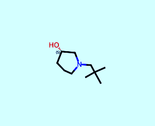 CC(C)(C)CN1CCC[C@H](O)C1